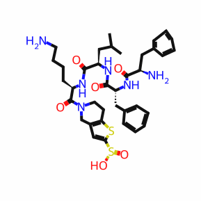 CC(C)C[C@@H](NC(=O)[C@@H](Cc1ccccc1)NC(=O)[C@H](N)Cc1ccccc1)C(=O)N[C@H](CCCCN)C(=O)N1CCc2sc(S(=O)O)cc2C1